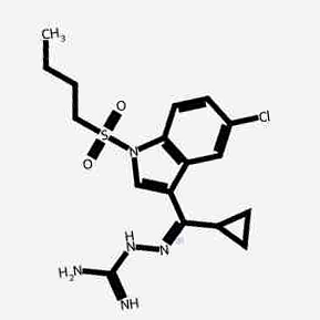 CCCCS(=O)(=O)n1cc(/C(=N\NC(=N)N)C2CC2)c2cc(Cl)ccc21